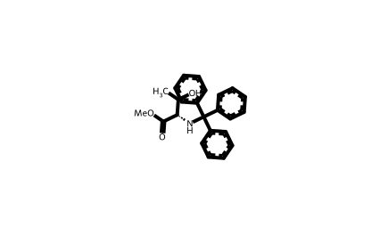 COC(=O)[C@@H](NC(c1ccccc1)(c1ccccc1)c1ccccc1)C(C)O